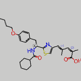 CCCCOc1ccc(C[C@H](NC(=O)C2CCCCC2)c2nc(/C=C(C)/C=C(/C)C(=O)O)cs2)cc1